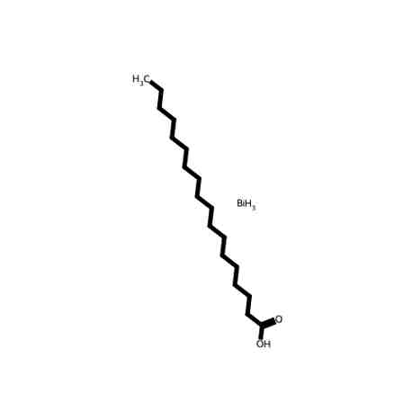 CCCCCCCCCCCCCCCCCC(=O)O.[BiH3]